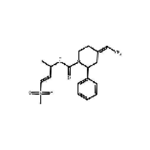 CC(/C=C/S(C)(=O)=O)NC(=O)N1CCC(=CC(F)(F)F)CC1c1ccccc1